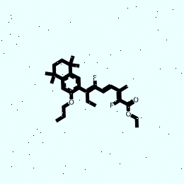 CCCOc1cc2c(cc1C(CC)=C(F)C=CC(C)=C(F)C(=O)OCC)C(C)(C)CCC2(C)C